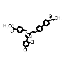 CC[S+]([O-])c1ccc(-c2ccc(/C=C/c3nc(-c4ccc(Cl)cc4Cl)cn3Cc3ccc(C(=O)OC)cc3)cc2)cc1